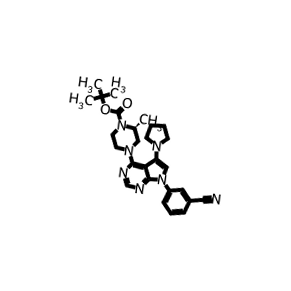 C[C@@H]1CN(c2ncnc3c2c(N2CCCC2)cn3-c2cccc(C#N)c2)CCN1C(=O)OC(C)(C)C